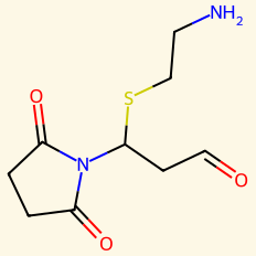 NCCSC(CC=O)N1C(=O)CCC1=O